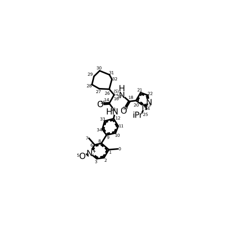 Cc1cc[n+]([O-])c(C)c1-c1ccc(NC(=O)[C@@H](NC(=O)c2ccnn2C(C)C)C2CCCCCC2)cc1